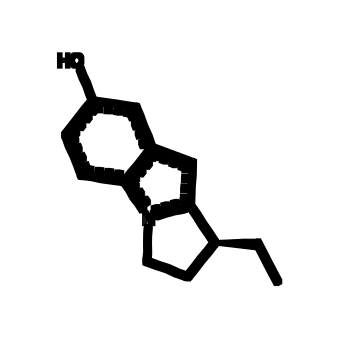 CC[C@H]1CCn2c1cc1cc(O)ccc12